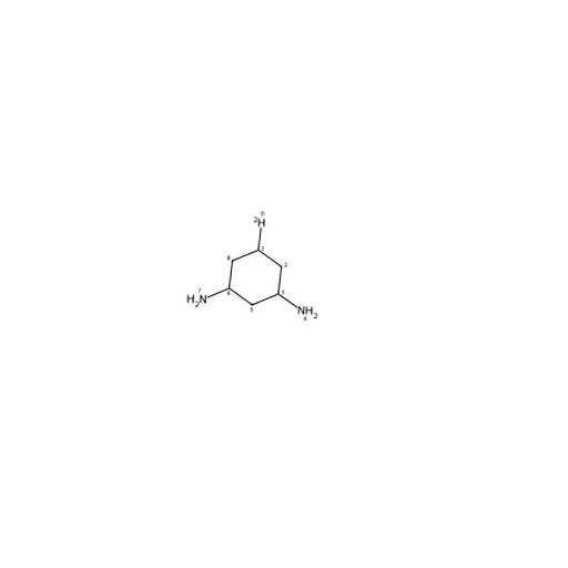 [2H]C1CC(N)CC(N)C1